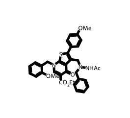 CCOC(=O)c1cn(Cc2ccccc2OC)c2sc(-c3ccc(OC)cc3)c(CN(Cc3ccccc3)NC(C)=O)c2c1=O